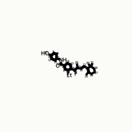 CCc1cc(C(=O)Nc2ccc(O)cc2)ccc1/C(F)=C(C)/C=C/C1=C(C)CCCC1(C)C